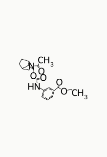 CCOC(=O)c1cccc(NC(=O)OCC2C3CCC2N(C(C)=O)C3)c1